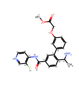 CCCOC(=O)COc1cccc(-c2cc(C(=O)Nc3ccncc3F)ccc2C(C)N)c1